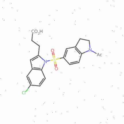 CC(=O)N1CCc2cc(S(=O)(=O)n3c(CCC(=O)O)cc4cc(Cl)ccc43)ccc21